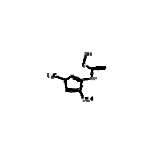 Cn1cc(C(=O)O)c(NC(=O)OC(C)(C)C)n1